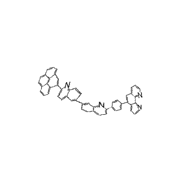 c1cnc2c(c1)cc(-c1ccc(-c3ccc4ccc(-c5ccc6nc(-c7cc8cccc9ccc%10cccc7c%10c98)ccc6c5)cc4n3)cc1)c1cccnc12